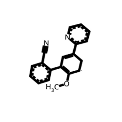 COC1=C(c2ccccc2C#N)C=C(c2ccccn2)C[CH]1